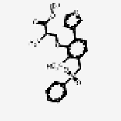 CC(C)(C)OC(=O)C(N)COc1c(-c2ccoc2)ccc(CS(=O)(=O)c2ccccc2)c1C(=O)O